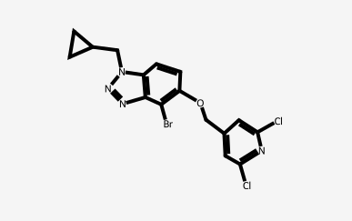 Clc1cc(COc2ccc3c(nnn3CC3CC3)c2Br)cc(Cl)n1